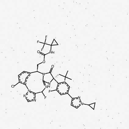 CC(C)(C)C[C@]1(c2ccc(-c3ccn(C4CC4)n3)cc2F)N/C2=N\C(F)c3ncnn3-c3cc(ccc3Cl)[C@@H](COC(=O)NC3(C(F)(F)F)CC3)N2C1=O